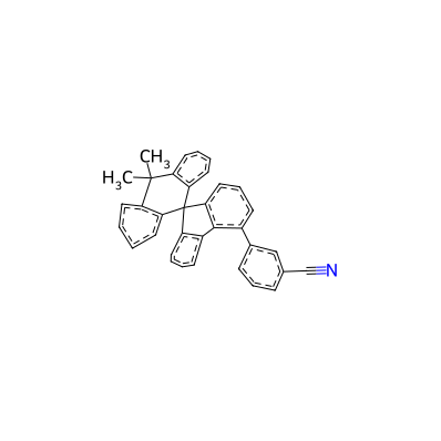 CC1(C)c2ccccc2C2(c3ccccc3-c3c(-c4cccc(C#N)c4)cccc32)c2ccccc21